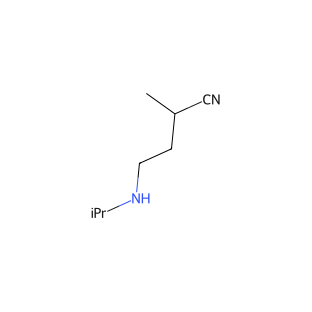 CC(C#N)CCNC(C)C